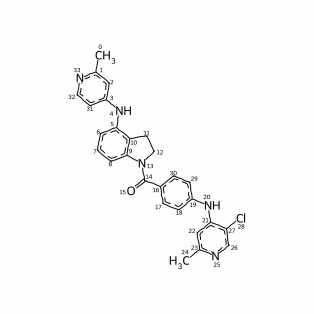 Cc1cc(Nc2cccc3c2CCN3C(=O)c2ccc(Nc3cc(C)ncc3Cl)cc2)ccn1